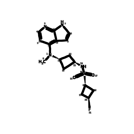 CN(c1ncnc2[nH]ccc12)[C@H]1C[C@@H](NS(=O)(=O)[C@H]2C[C@H](F)C2)C1